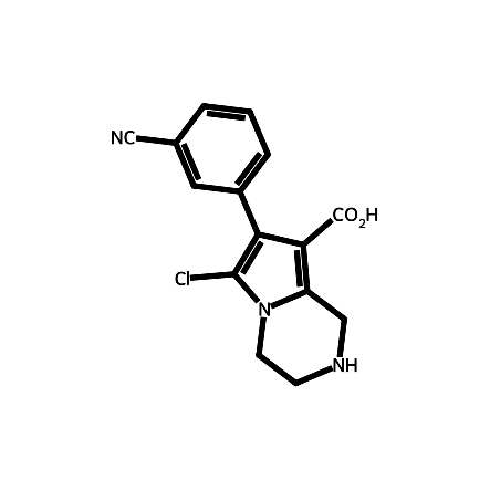 N#Cc1cccc(-c2c(C(=O)O)c3n(c2Cl)CCNC3)c1